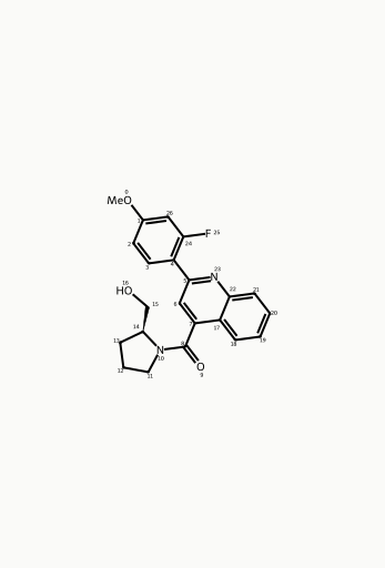 COc1ccc(-c2cc(C(=O)N3CCC[C@H]3CO)c3ccccc3n2)c(F)c1